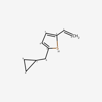 C=Cc1ccc(CC2CC2)s1